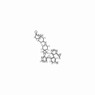 O=C1CCC2(CCC(CN3CCC4(CC3)CN(c3ncncc3Oc3ccc(F)cc3-c3cncnc3C3CC3)C4)CC2)N1